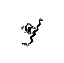 C=CC.C=CC.CCCCCCCCCCCCCCCCCC(=O)O.S